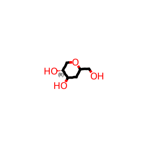 OCC1CC(O)[C@H](O)CO1